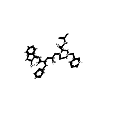 C=C(C)NC(=O)C1CN(Cc2cccnc2)CCN1CC(O)CC(Cc1ccccc1)C(=O)NC1c2ccccc2CC1O